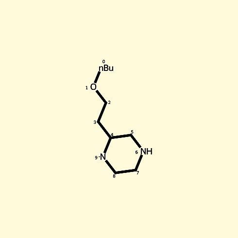 CCCCOCCC1CNCC[N]1